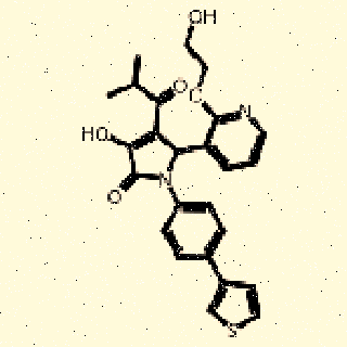 CC(C)C(=O)C1=C(O)C(=O)N(c2ccc(-c3ccsc3)cc2)C1c1cccnc1OCCO